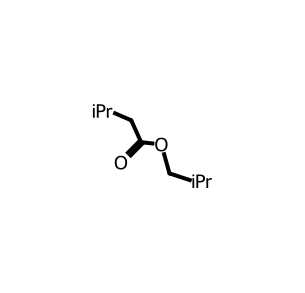 CC(C)COC(=O)CC(C)C